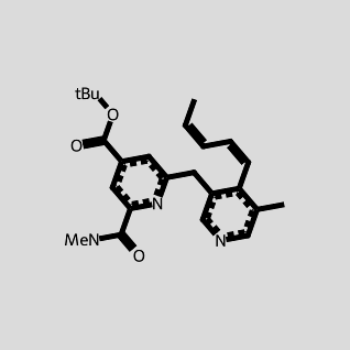 C/C=C\C=C/c1c(C)cncc1Cc1cc(C(=O)OC(C)(C)C)cc(C(=O)NC)n1